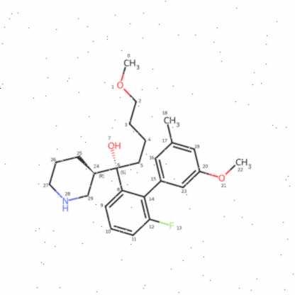 COCCCC[C@@](O)(c1cccc(F)c1-c1cc(C)cc(OC)c1)[C@@H]1CCCNC1